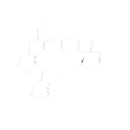 COc1cc2ncnc(Nc3cccc(Cl)c3F)c2cc1O[C@H]1CC[C@@H]([C@@H]2NCCNC2=O)CC1